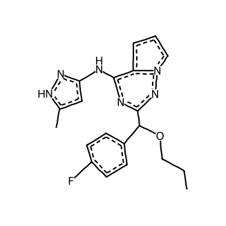 CCCOC(c1ccc(F)cc1)c1nc(Nc2cc(C)[nH]n2)c2cccn2n1